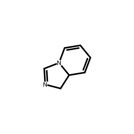 C1=CC2CN=CN2C=C1